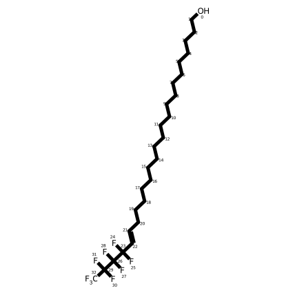 OCCCCCCCCCCCCCCCCCCCCC=CC(F)(F)C(F)(F)C(F)(F)C(F)(F)F